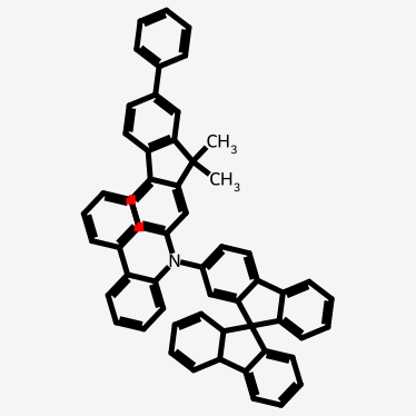 CC1(C)c2cc(-c3ccccc3)ccc2-c2ccc(N(c3ccc4c(c3)C3(c5ccccc5-4)c4ccccc4C4C=CC=CC43)c3ccccc3-c3ccccc3)cc21